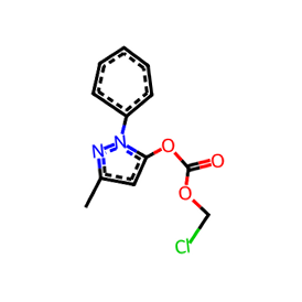 Cc1cc(OC(=O)OCCl)n(-c2ccccc2)n1